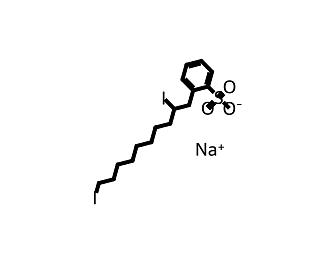 O=S(=O)([O-])c1ccccc1CC(I)CCCCCCCCI.[Na+]